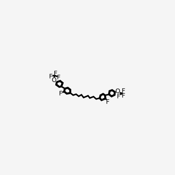 Fc1cc(CCCCCCCCCc2ccc(-c3ccc(OC(F)(F)F)cc3)c(F)c2)ccc1-c1ccc(OC(F)(F)F)cc1